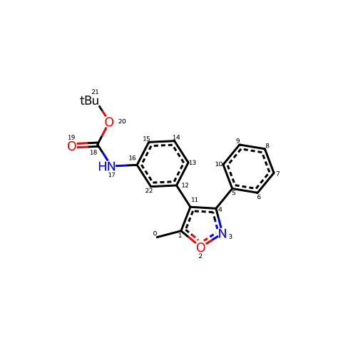 Cc1onc(-c2ccccc2)c1-c1cccc(NC(=O)OC(C)(C)C)c1